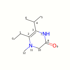 CCC1=C(C(C)C)NC(=O)CN1C